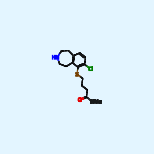 CNC(=O)CCCSc1c(Cl)ccc2c1CCNCC2